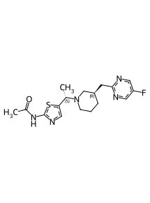 CC(=O)Nc1ncc([C@H](C)N2CCC[C@H](Cc3ncc(F)cn3)C2)s1